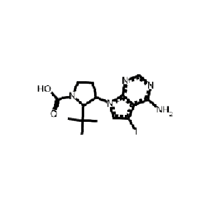 CC(C)(C)C1C(n2cc(I)c3c(N)ncnc32)CCN1C(=O)O